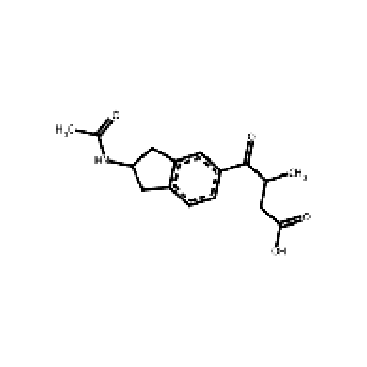 CC(=O)NC1Cc2ccc(C(=O)C(C)CC(=O)O)cc2C1